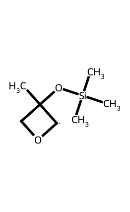 CC1(O[Si](C)(C)C)[CH]OC1